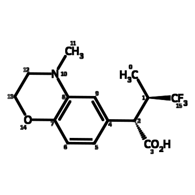 C[C@H]([C@H](C(=O)O)c1ccc2c(c1)N(C)CCO2)C(F)(F)F